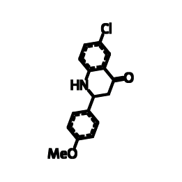 COc1ccc(C2CC(=O)c3cc(Cl)ccc3N2)cc1